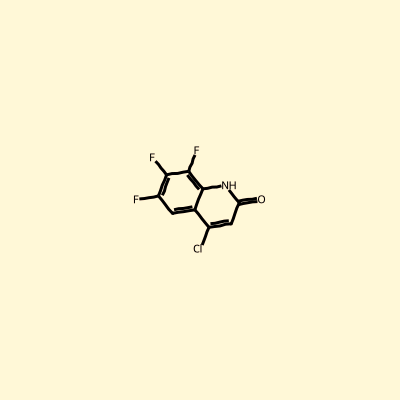 O=c1cc(Cl)c2cc(F)c(F)c(F)c2[nH]1